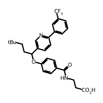 CC(C)(C)CCC(Oc1ccc(C(=O)NCCC(=O)O)cc1)c1ccc(-c2cccc(C(F)(F)F)c2)nc1